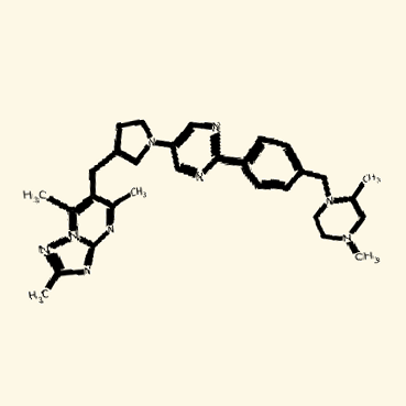 Cc1nc2nc(C)c(CC3CCN(c4cnc(-c5ccc(CN6CCN(C)CC6C)cc5)nc4)C3)c(C)n2n1